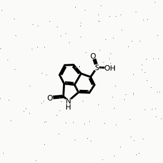 O=C1Nc2ccc(S(=O)O)c3cccc1c23